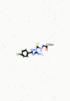 COC(=O)CNC(=S)n1nc(-c2ccc(Cl)cc2)nc1N